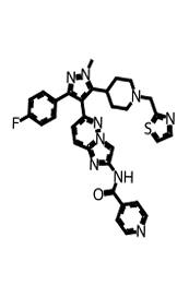 Cn1nc(-c2ccc(F)cc2)c(-c2ccc3nc(NC(=O)c4ccncc4)cn3n2)c1C1CCN(Cc2nccs2)CC1